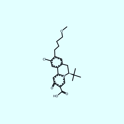 COCCCCc1cc2c(cc1Cl)-c1cc(=O)c(C(=O)O)cn1[C@H](C(C)(C)C)C2